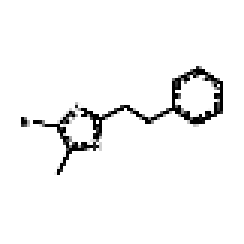 Cc1nc(CCc2ccccc2)sc1Br